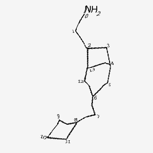 NCC1CC2CC(CC3CCC3)CC12